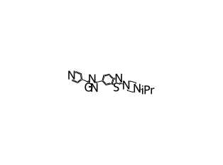 CC(C)N1CCN(c2nc3ccc(-c4noc(-c5ccncc5)n4)cc3s2)CC1